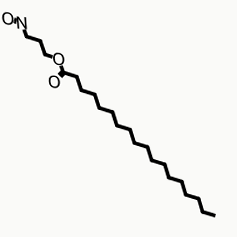 CCCCCCCCCCCCCCCCCC(=O)OCCCN=O